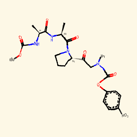 CC(C)N(CC(=O)[C@@H]1CCCN1C(=O)[C@H](C)NC(=O)[C@H](C)NC(=O)OC(C)(C)C)C(=O)Oc1ccc([N+](=O)[O-])cc1